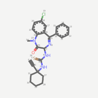 C#CC1(NC(=S)NC2N=C(c3ccccc3)c3cc(Cl)ccc3N(C)C2=O)CCCCC1